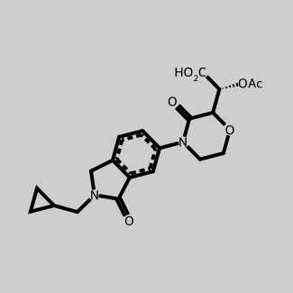 CC(=O)O[C@@H](C(=O)O)C1OCCN(c2ccc3c(c2)C(=O)N(CC2CC2)C3)C1=O